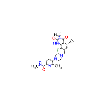 CNC(=O)c1ccc(N2CCN(Cc3cc(C4CC4)c4c(=O)n(C)c(=O)[nH]c4c3F)CC2)c(C)n1